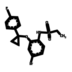 CCS(=O)(=O)Nc1ccc(Br)cc1OC1(c2ccc(F)cc2)CC1